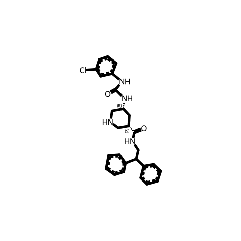 O=C(Nc1cccc(Cl)c1)N[C@H]1CNC[C@@H](C(=O)NCC(c2ccccc2)c2ccccc2)C1